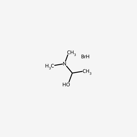 Br.CC(O)N(C)C